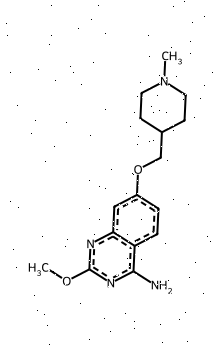 COc1nc(N)c2ccc(OCC3CCN(C)CC3)cc2n1